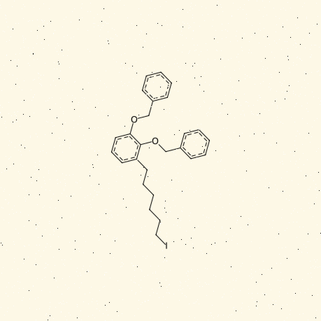 ICCCCCCc1cccc(OCc2ccccc2)c1OCc1ccccc1